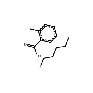 CCCCCCl.Cc1ccccc1C(=O)O